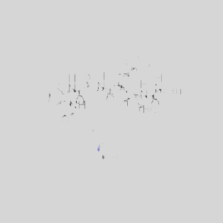 C/C=C/CCCCC(=O)Nc1ccccc1NC(=O)C(=O)CNC(=O)[C@@H]1C[C@@]2(CN1C(=O)[C@@H](NC(=O)NC(C)(C)C)C(C)(C)C)CC21CCC1